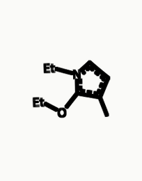 CCOc1c(C)ccn1CC